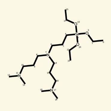 CCO[Si](CCCN(CCCN(C)C)CCCN(C)C)(OCC)OCC